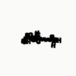 CCOC(=O)C(Cc1ccccc1)NCc1cccc(NC(=O)CCCCCCC(=O)NO)c1